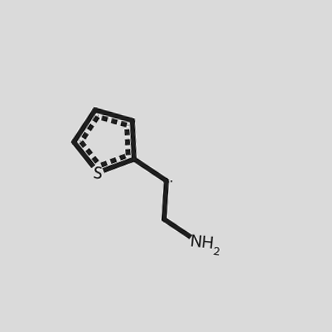 NC[CH]c1cccs1